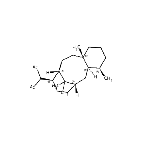 CC(=O)C(C(C)=O)[C@@H]1CC[C@H]2C[C@@H]3[C@H](C)CCC[C@@]3(C)CC[C@@H]1C2(C)C